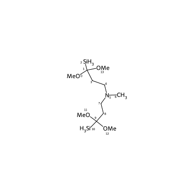 COC([SiH3])(CCN(C)CCC([SiH3])(OC)OC)OC